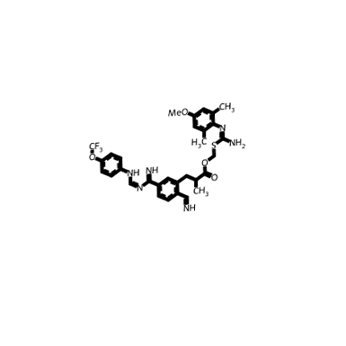 COc1cc(C)c(/N=C(/N)SCOC(=O)C(C)Cc2cc(C(=N)/N=C\Nc3ccc(OC(F)(F)F)cc3)ccc2C=N)c(C)c1